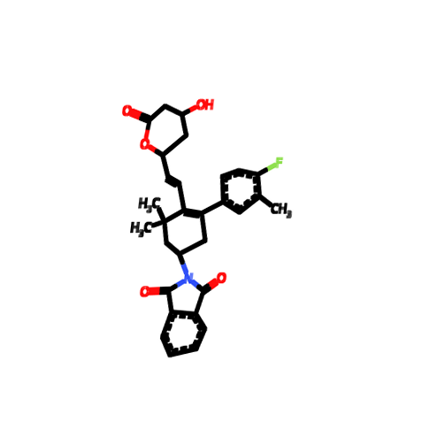 Cc1cc(C2=C(C=CC3CC(O)CC(=O)O3)C(C)(C)CC(N3C(=O)c4ccccc4C3=O)C2)ccc1F